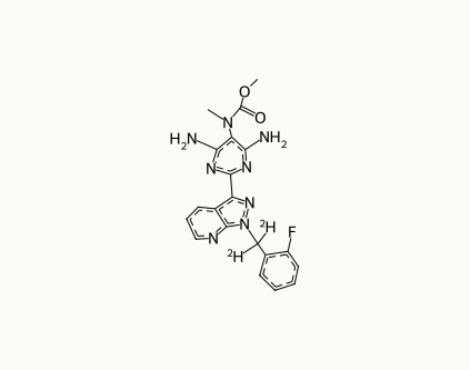 [2H]C([2H])(c1ccccc1F)n1nc(-c2nc(N)c(N(C)C(=O)OC)c(N)n2)c2cccnc21